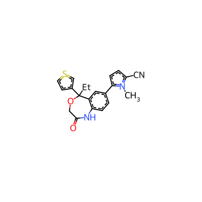 CCC1(c2ccsc2)OCC(=O)Nc2ccc(-c3ccc(C#N)n3C)cc21